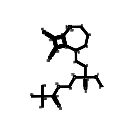 [CH2]OP(=O)(CCN1CCCNc2c1c(=O)c2=O)OCOC(=O)C(C)(C)C